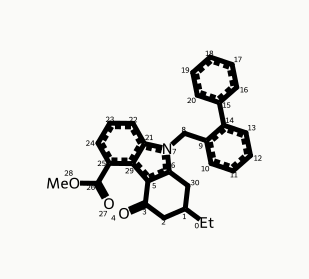 CCC1CC(=O)c2c(n(Cc3ccccc3-c3ccccc3)c3cccc(C(=O)OC)c23)C1